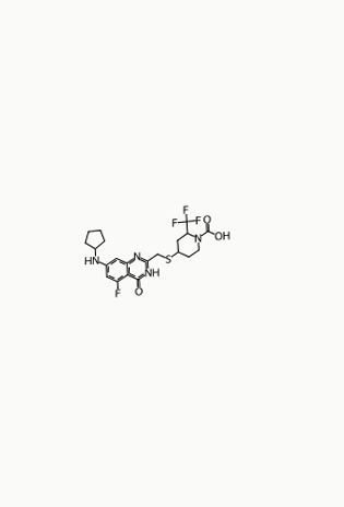 O=C(O)N1CCC(SCc2nc3cc(NC4CCCC4)cc(F)c3c(=O)[nH]2)CC1C(F)(F)F